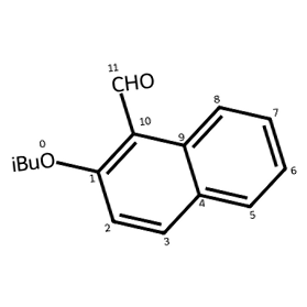 CC(C)COc1ccc2ccccc2c1C=O